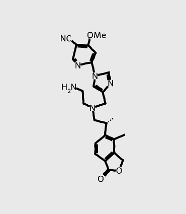 COc1cc(-n2cnc(CN(CCN)C[C@H](C)c3ccc4c(c3C)COC4=O)c2)ncc1C#N